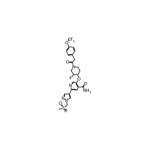 CS(=O)(=O)Cn1cc(-c2cc(C(N)=O)c(O[C@@H]3CCN(C(=O)Cc4ccc(OC(F)(F)F)cc4)C[C@@H]3F)cn2)cn1